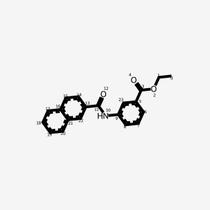 CCOC(=O)c1cccc(NC(=O)c2ccc3ccccc3c2)c1